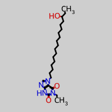 CCC(O)CCCCCCCCCCCCCCCn1cnc2[nH]c(=O)n(CC)c(=O)c21